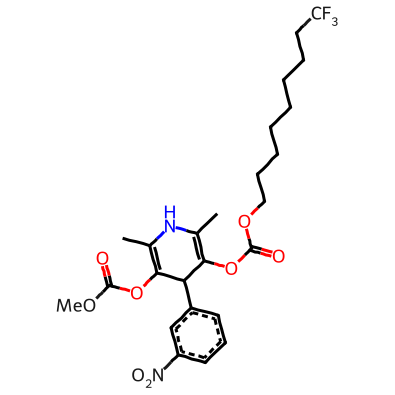 COC(=O)OC1=C(C)NC(C)=C(OC(=O)OCCCCCCCCC(F)(F)F)C1c1cccc([N+](=O)[O-])c1